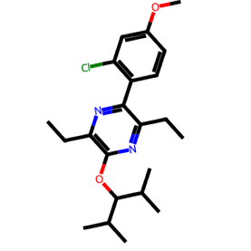 CCc1nc(-c2ccc(OC)cc2Cl)c(CC)nc1OC(C(C)C)C(C)C